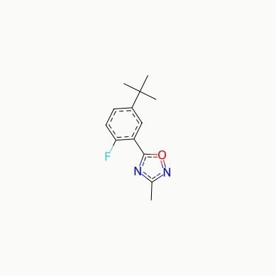 Cc1noc(-c2cc(C(C)(C)C)ccc2F)n1